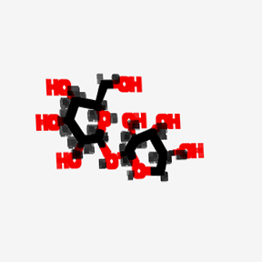 OC[C@H]1O[C@@H](O[C@H]2OC[C@@H](O)[C@H](O)[C@H]2O)[C@@H](O)[C@@H](O)[C@@H]1O